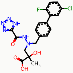 CC(O)(CN(Cc1ccc(-c2cc(Cl)ccc2F)cc1)NC(=O)c1nnn[nH]1)C(=O)O